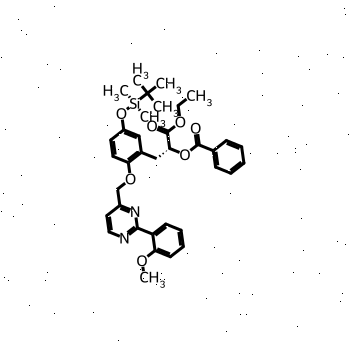 CCOC(=O)[C@@H](Cc1cc(O[Si](C)(C)C(C)(C)C)ccc1OCc1ccnc(-c2ccccc2OC)n1)OC(=O)c1ccccc1